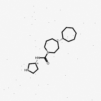 O=C(N[C@@H]1CCNC1)N1CCC[C@H](C2CCCCCC2)CC1